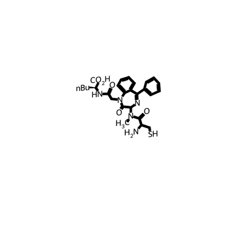 CCCC[C@H](NC(=O)CN1C(=O)C(N(C)C(=O)C(N)CS)N=C(c2ccccc2)c2ccccc21)C(=O)O